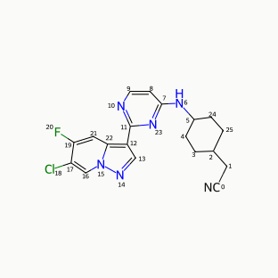 N#CCC1CCC(Nc2ccnc(-c3cnn4cc(Cl)c(F)cc34)n2)CC1